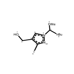 CCCCC(OC)n1cc(CO)c(I)n1